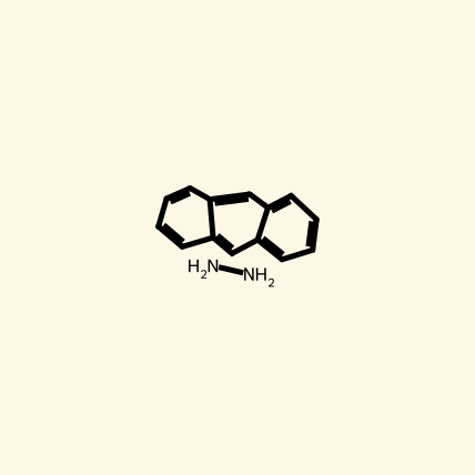 NN.c1ccc2cc3ccccc3cc2c1